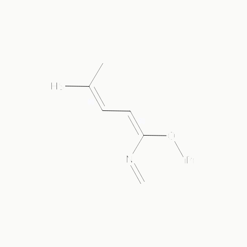 C=N/C(=C\C=C(/C)S)OC(C)C